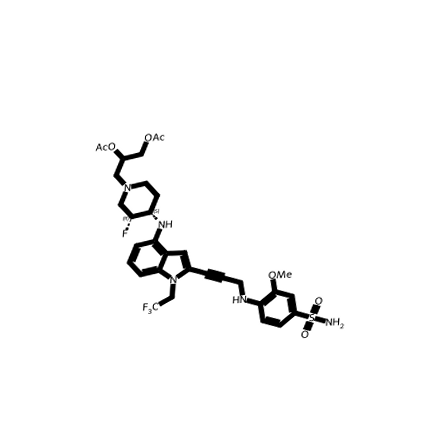 COc1cc(S(N)(=O)=O)ccc1NCC#Cc1cc2c(N[C@H]3CCN(CC(COC(C)=O)OC(C)=O)C[C@H]3F)cccc2n1CC(F)(F)F